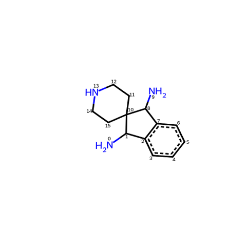 NC1c2ccccc2C(N)C12CCNCC2